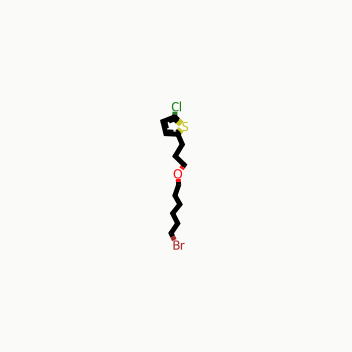 Clc1ccc(CCCOCCCCCCBr)s1